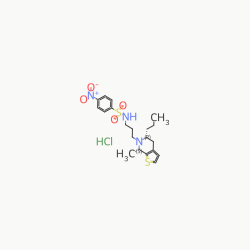 CCC[C@@H]1Cc2ccsc2[C@H](C)N1CCCNS(=O)(=O)c1ccc([N+](=O)[O-])cc1.Cl